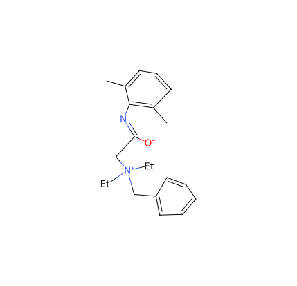 CC[N+](CC)(C/C([O-])=N/c1c(C)cccc1C)Cc1ccccc1